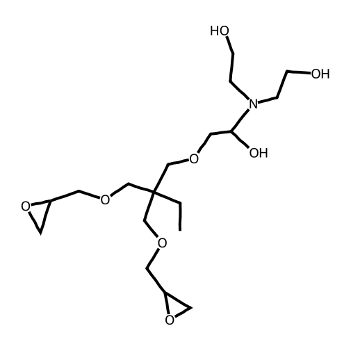 CCC(COCC1CO1)(COCC1CO1)COCC(O)N(CCO)CCO